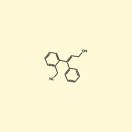 N#CCc1ccccc1/C(=C/CO)c1ccccc1